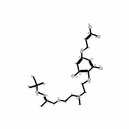 CC(COCCN(C)CCOc1c(Cl)cc(OCC=C(Cl)Cl)cc1Cl)=NOC(C)(C)C